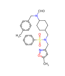 Cc1ccc(CN(C=O)C2CCC(CN(Cc3cc(C)on3)S(=O)(=O)c3ccccc3)CC2)cc1